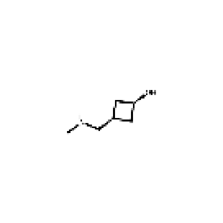 CNC[C@H]1C[C@@H](O)C1